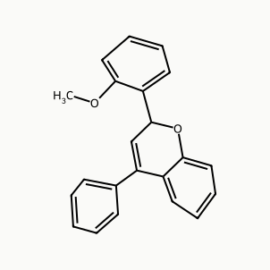 COc1ccccc1C1C=C(c2ccccc2)c2ccccc2O1